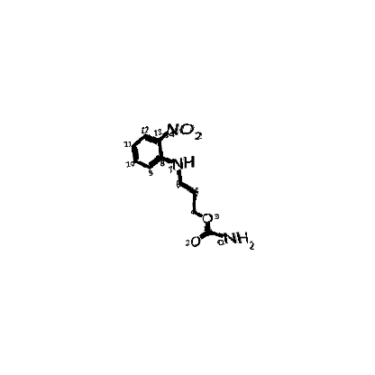 NC(=O)OCCCNc1ccccc1[N+](=O)[O-]